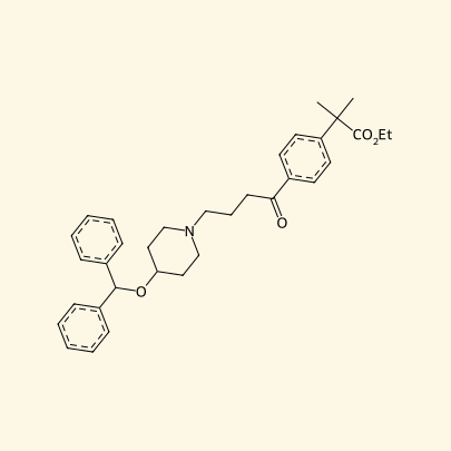 CCOC(=O)C(C)(C)c1ccc(C(=O)CCCN2CCC(OC(c3ccccc3)c3ccccc3)CC2)cc1